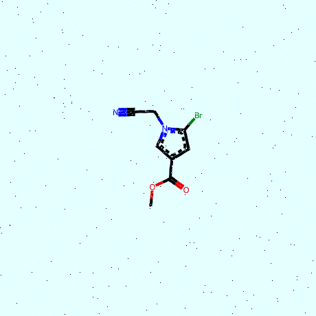 COC(=O)c1cc(Br)n(CC#N)c1